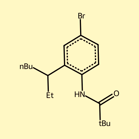 CCCCC(CC)c1cc(Br)ccc1NC(=O)C(C)(C)C